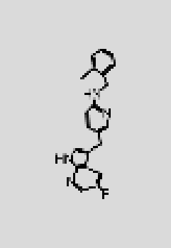 Cc1ccccc1CNc1ccc(Cc2c[nH]c3ncc(F)cc23)cn1